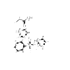 CCC(=O)O.NS(=O)(=O)c1ccccc1.c1c[nH]nn1.c1c[nH]nn1